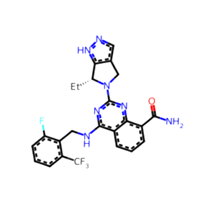 CC[C@@H]1c2[nH]ncc2CN1c1nc(NCc2c(F)cccc2C(F)(F)F)c2cccc(C(N)=O)c2n1